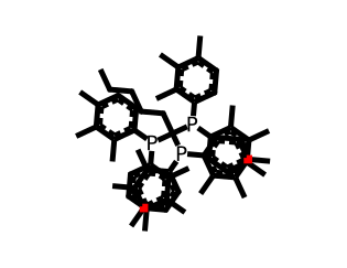 CCCCCC(P(c1ccc(C)c(C)c1C)c1ccc(C)c(C)c1C)(P(c1ccc(C)c(C)c1C)c1ccc(C)c(C)c1C)P(c1ccc(C)c(C)c1C)c1ccc(C)c(C)c1C